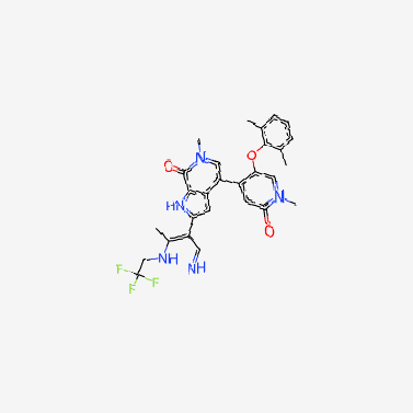 C/C(NCC(F)(F)F)=C(/C=N)c1cc2c(-c3cc(=O)n(C)cc3Oc3c(C)cccc3C)cn(C)c(=O)c2[nH]1